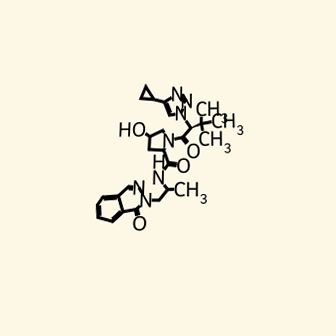 CC(Cn1ncc2ccccc2c1=O)NC(=O)C1CC(O)CN1C(=O)[C@@H](n1cc(C2CC2)nn1)C(C)(C)C